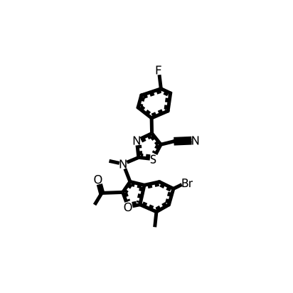 CC(=O)c1oc2c(C)cc(Br)cc2c1N(C)c1nc(-c2ccc(F)cc2)c(C#N)s1